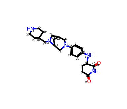 O=C1CCC(Nc2ccc(N3CC4CC(C3)N(CC3CCNCC3)C4)cc2)C(=O)N1